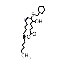 CCCCCCCCCCC/C=C\C(SCC1CCCCC1)C(O)CCCC(=O)O